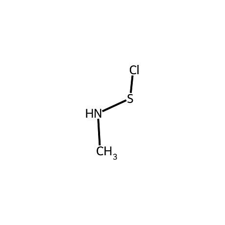 CNSCl